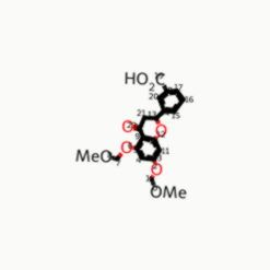 COCOc1cc(OCOC)c2c(c1)OC(c1cccc(C(=O)O)c1)CC2=O